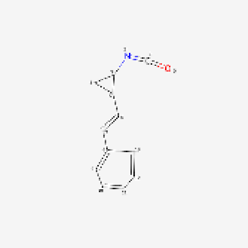 O=C=NC1CC1/C=C/c1ccccc1